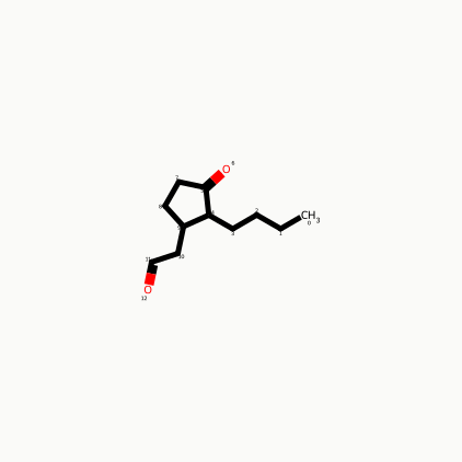 CCCCC1C(=O)CCC1CC=O